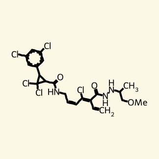 C=C/C(C(=O)NNC(C)COC)=C(Cl)\C=C/CNC(=O)C1C(c2cc(Cl)cc(Cl)c2)C1(Cl)Cl